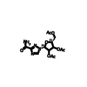 CC(=O)OC[C@H]1O[C@@H](n2cnc(C(N)=O)n2)C(OC(C)=O)C1OC(C)=O